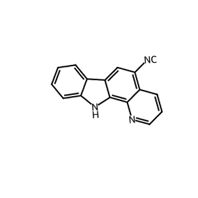 [C-]#[N+]c1cc2c3ccccc3[nH]c2c2ncccc12